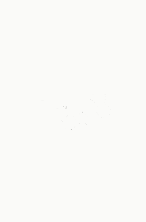 O[C@H]1[CH]C[C@@H](Nc2ncnc3nc(-c4cccc5cccnc45)[nH]c23)C1